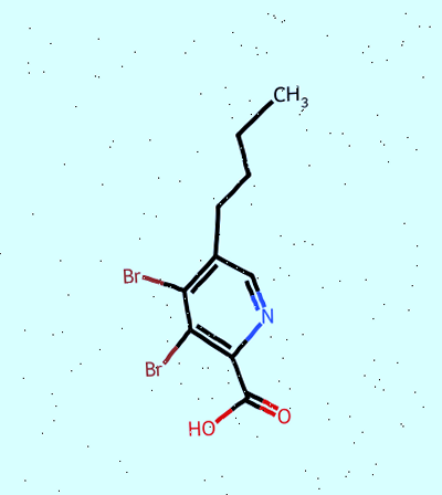 CCCCc1cnc(C(=O)O)c(Br)c1Br